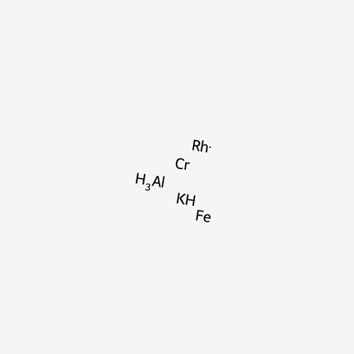 [AlH3].[Cr].[Fe].[KH].[Rh]